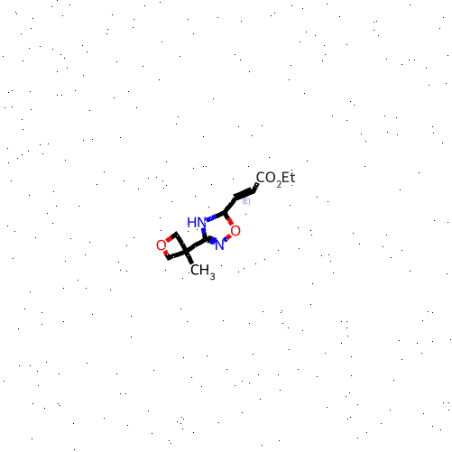 CCOC(=O)/C=C/C1NC(C2(C)COC2)=NO1